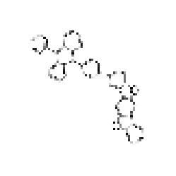 c1ccc(-c2c3ccccc3c(-c3ccc(-c4ccc5oc6cc7c(cc6c5c4)oc4ccccc47)cc3)c3ccccc23)cc1